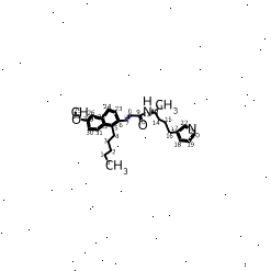 CCCCCc1c(/C=C/C(=O)N[C@H](C)CCCc2cccnc2)ccc2cc(OC)ccc12